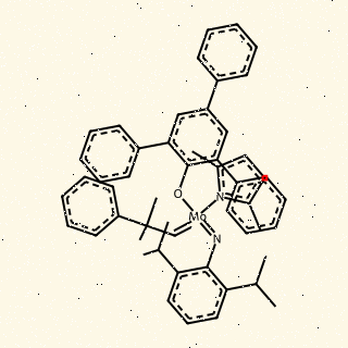 Cc1ccc(C)[n]1[Mo](=[CH]C(C)(C)c1ccccc1)(=[N]c1c(C(C)C)cccc1C(C)C)[O]c1c(-c2ccccc2)cc(-c2ccccc2)cc1-c1ccccc1